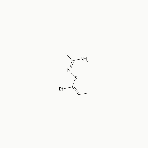 C/C=C(/CC)S/N=C(/C)N